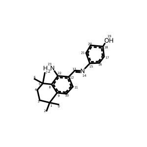 CC1(C)CCC(C)(C)c2c1ccc(C=Nc1ccc(O)cc1)c2N